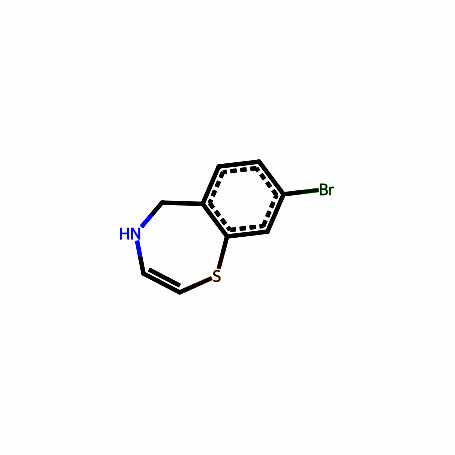 Brc1ccc2c(c1)SC=CNC2